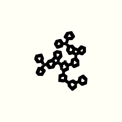 c1ccc(-c2cccc(-c3cccc(-c4cc(-c5cccc(-n6c7ccccc7c7cc(N(c8ccccc8)c8ccccc8)ccc76)c5)nc(-n5c6ccccc6c6cc(N(c7ccccc7)c7ccccc7)ccc65)n4)c3)c2)cc1